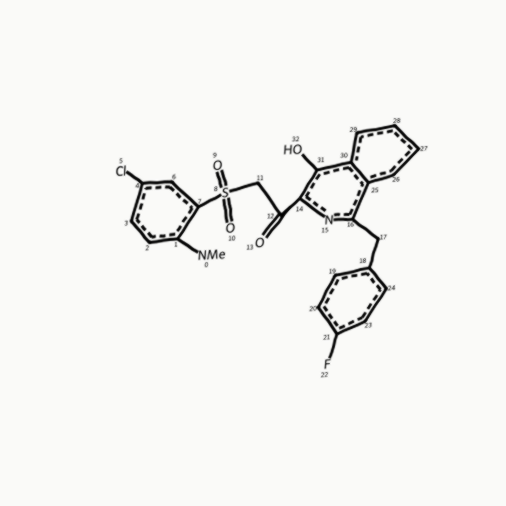 CNc1ccc(Cl)cc1S(=O)(=O)CC(=O)c1nc(Cc2ccc(F)cc2)c2ccccc2c1O